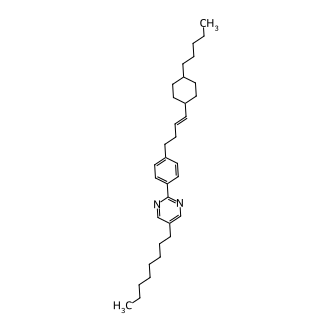 CCCCCCCCc1cnc(-c2ccc(CCC=CC3CCC(CCCCC)CC3)cc2)nc1